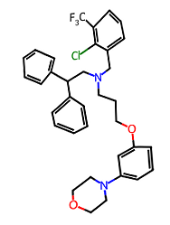 FC(F)(F)c1cccc(CN(CCCOc2cccc(N3CCOCC3)c2)CC(c2ccccc2)c2ccccc2)c1Cl